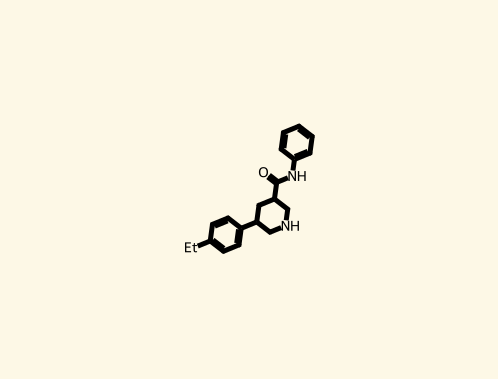 CCc1ccc(C2CNCC(C(=O)Nc3ccccc3)C2)cc1